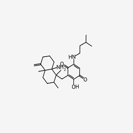 C=C1CCCC2(N)C1(C)CCC(C)C2(C)CC1=C(O)C(=O)C=C(NCCC(C)C)C1=O